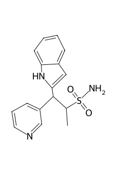 CC(C(c1cccnc1)c1cc2ccccc2[nH]1)S(N)(=O)=O